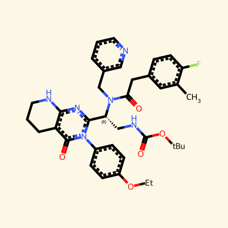 CCOc1ccc(-n2c([C@@H](CNC(=O)OC(C)(C)C)N(Cc3cccnc3)C(=O)Cc3ccc(F)c(C)c3)nc3c(c2=O)CCCN3)cc1